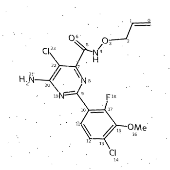 C=CCONC(=O)c1nc(-c2ccc(Cl)c(OC)c2F)nc(N)c1Cl